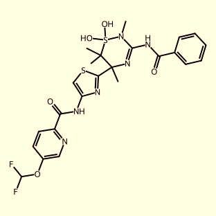 CN1C(NC(=O)c2ccccc2)=NC(C)(c2nc(NC(=O)c3ccc(OC(F)F)cn3)cs2)C(C)(C)S1(O)O